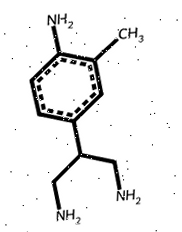 Cc1cc(C(CN)CN)ccc1N